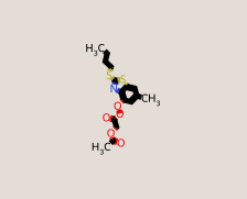 CCCCSc1nc2c(OOC(=O)COC(C)=O)cc(C)cc2s1